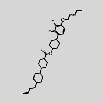 C=CCCC1CCC(C2CCC(C(=O)OC3CCC(c4ccc(OCCCCC)c(F)c4F)CC3)CC2)CC1